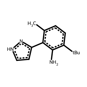 Cc1ccc(C(C)(C)C)c(N)c1-c1cc[nH]n1